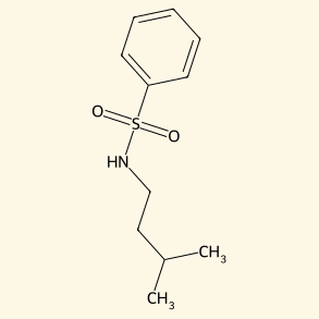 CC(C)CCNS(=O)(=O)c1ccccc1